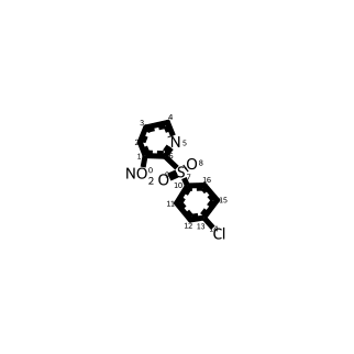 O=[N+]([O-])c1cccnc1S(=O)(=O)c1ccc(Cl)cc1